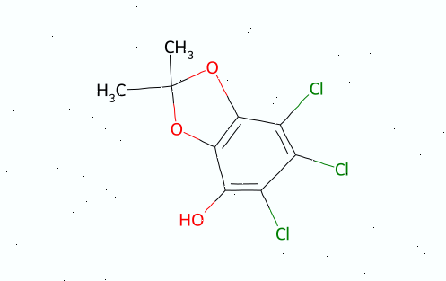 CC1(C)Oc2c(O)c(Cl)c(Cl)c(Cl)c2O1